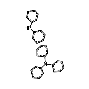 c1ccc(N(c2ccccc2)c2ccccc2)cc1.c1ccc(Pc2ccccc2)cc1